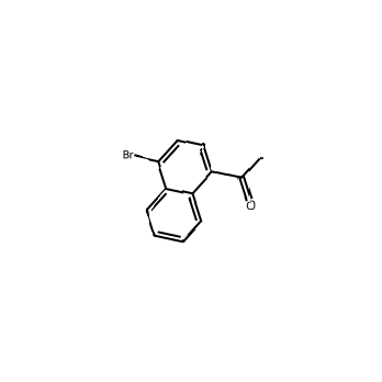 CC(=O)c1ccc(Br)c2ccccc12